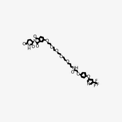 O=C(COc1ccc(Oc2cncc(C(F)(F)F)c2)cc1)NCCCOCCOCCOCCOCCOc1ccc2c(c1)C(=O)N(C1CCC(=O)NC1=O)C2=O